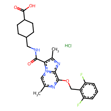 Cc1cn2c(C(=O)NCC3CCC(C(=O)O)CC3)c(C)nc2c(OCc2c(F)cccc2F)n1.Cl